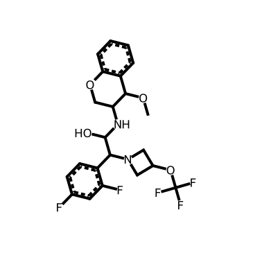 COC1c2ccccc2OCC1NC(O)C(c1ccc(F)cc1F)N1CC(OC(F)(F)F)C1